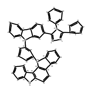 c1ccc(-c2nnc(-c3ccc4c5ccccc5n(-c5cccc(-n6c7ccccc7c7ccc8oc9ccccc9c8c76)c5)c4c3)n2-c2ccccc2)cc1